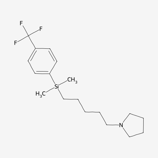 C[Si](C)(CCCCCN1CCCC1)c1ccc(C(F)(F)F)cc1